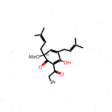 CO[C@@]1(CC=C(C)C)C=C(CC=C(C)C)C(O)=C(C(=O)CC(C)C)C1=O